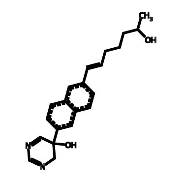 CC(O)CCCC=Cc1ccc2cc(C3(O)C=NC=NC3)ccc2c1